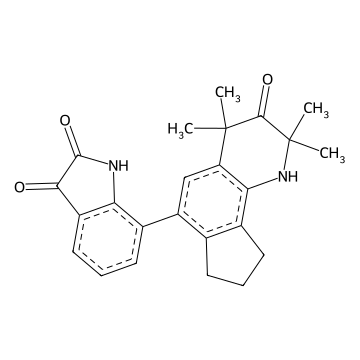 CC1(C)Nc2c(cc(-c3cccc4c3NC(=O)C4=O)c3c2CCC3)C(C)(C)C1=O